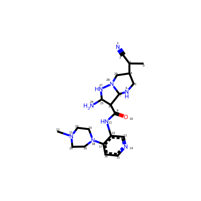 CC(C#N)C1CNC2C(C(=O)Nc3cnccc3N3CCN(C)CC3)C(N)NN2C1